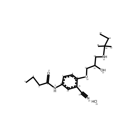 CCCC(=O)Nc1ccc(OCC(O)CNC(C)(C)CC)c(C#N)c1.Cl